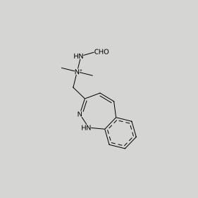 C[N+](C)(CC1=NNc2ccccc2C=C1)NC=O